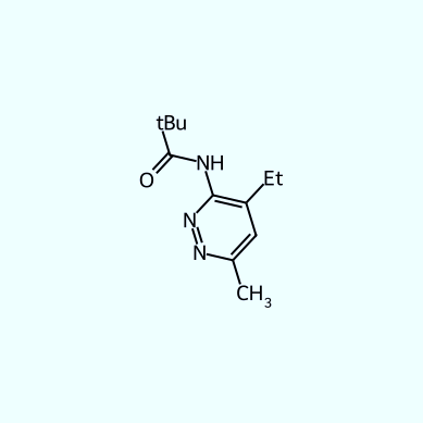 CCc1cc(C)nnc1NC(=O)C(C)(C)C